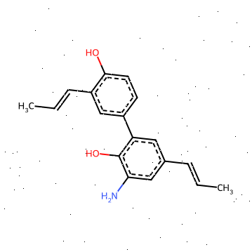 CC=Cc1cc(N)c(O)c(-c2ccc(O)c(C=CC)c2)c1